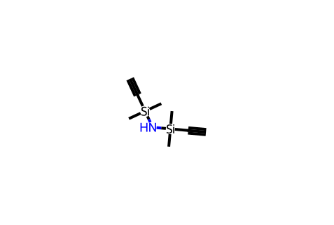 C#C[Si](C)(C)N[Si](C)(C)C#C